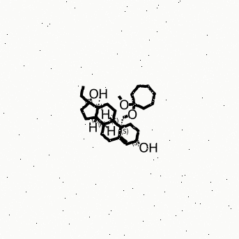 CC[C@]1(O)CC[C@H]2[C@@H]3CCC4=C[C@@H](O)CC[C@]4(COC4(OC)CCCCCC4)[C@H]3CC[C@@]21C